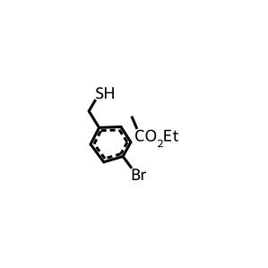 CCOC(C)=O.SCc1ccc(Br)cc1